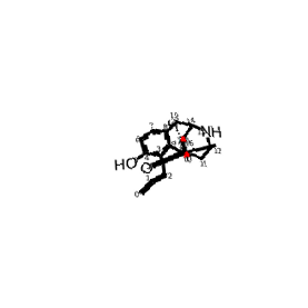 C=C=Cc1c(O)ccc2c1C13CCNC(C2)[C@@H]1CCC(=O)C3